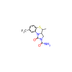 CC1Sc2ccc(C(F)(F)F)cc2N2C(=O)N(C(N)=O)CC12